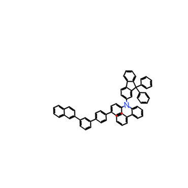 c1ccc(-c2ccccc2N(c2ccc(-c3ccc(-c4cccc(-c5ccc6ccccc6c5)c4)cc3)cc2)c2ccc3c(c2)C(c2ccccc2)(c2ccccc2)c2ccccc2-3)cc1